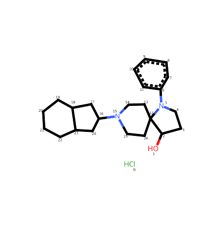 Cl.OC1CCN(c2ccccc2)C12CCN(C1CC3CCCCC3C1)CC2